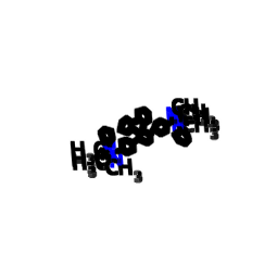 CC1(C)N=C(c2ccc(-c3ccc(-c4ccc(C5=NC(C)(C)C(C)(C)N5c5ccccc5)cc4)c4c5ccccc5c5ccccc5c34)cc2)N(c2ccccc2)C1(C)C